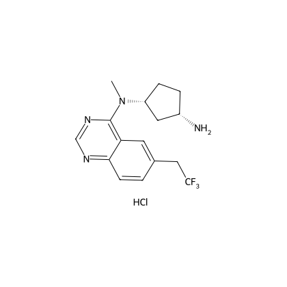 CN(c1ncnc2ccc(CC(F)(F)F)cc12)[C@@H]1CC[C@H](N)C1.Cl